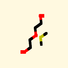 CSC.OCCOCCO